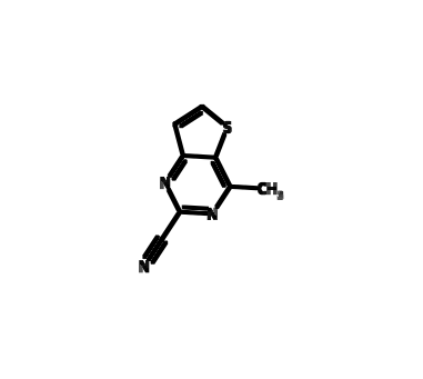 Cc1nc(C#N)nc2ccsc12